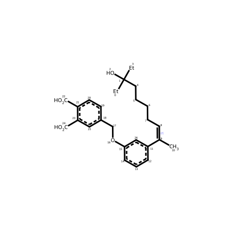 CCC(O)(CC)CCCC/C=C(/C)c1cccc(OCc2ccc(C(=O)O)c(C(=O)O)c2)c1